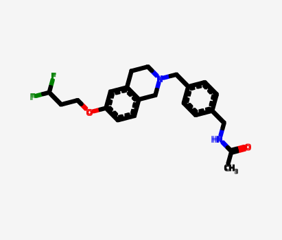 CC(=O)NCc1ccc(CN2CCc3cc(OCCC(F)F)ccc3C2)cc1